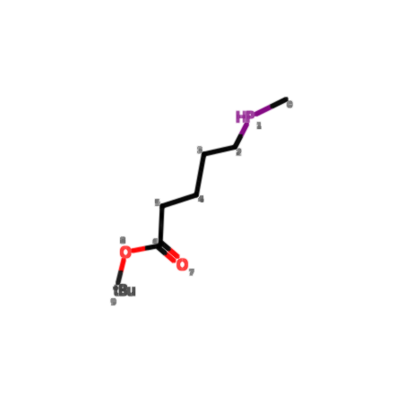 CPCCCCC(=O)OC(C)(C)C